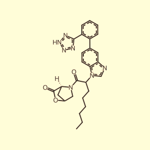 CCCCCCC(C(=O)N1CC2C[C@H]1C(=O)O2)n1cnc2cc(-c3ccccc3-c3nn[nH]n3)ccc21